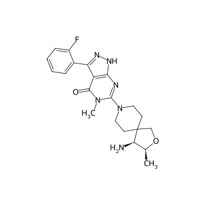 C[C@@H]1OCC2(CCN(c3nc4[nH]nc(-c5ccccc5F)c4c(=O)n3C)CC2)[C@@H]1N